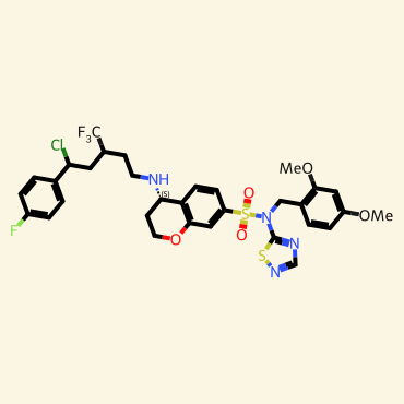 COc1ccc(CN(c2ncns2)S(=O)(=O)c2ccc3c(c2)OCC[C@@H]3NCCC(CC(Cl)c2ccc(F)cc2)C(F)(F)F)c(OC)c1